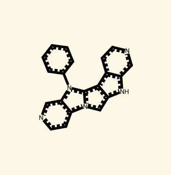 c1ccc(-n2c3cnccc3n3cc4[nH]c5cnccc5c4c23)cc1